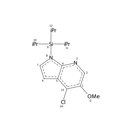 COc1cnc2c(ccn2[Si](C(C)C)(C(C)C)C(C)C)c1Cl